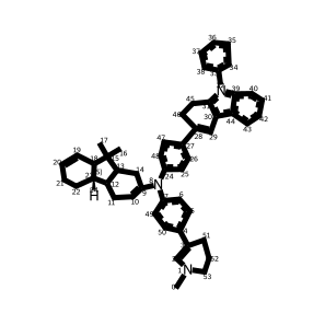 CN1C=C(c2ccc(N(C3=CCC4C(C3)C(C)(C)C3C=CCC[C@@H]43)c3ccc(C4=Cc5c(n(-c6ccccc6)c6ccccc56)CC4)cc3)cc2)CCC1